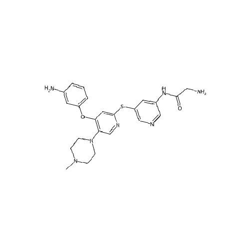 CN1CCN(c2cnc(Sc3cncc(NC(=O)CN)c3)cc2Oc2cccc(N)c2)CC1